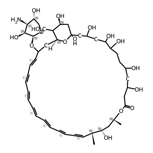 C[C@H]1C[C@H](O)[C@@H](C)/C=C/C=C/C=C/C=C/C=C/C=C/C=C/C(O[C@@H]2OC[C@@H](O)[C@H](N)[C@@H]2O)C[C@@H]2OC(O)(CC(O)CC(O)C(O)CCC(O)CC(O)CC(=O)O1)C[C@H](O)C2C(=O)O